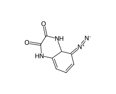 [N-]=[N+]=C1C=CC=C2NC(=O)C(=O)NC21